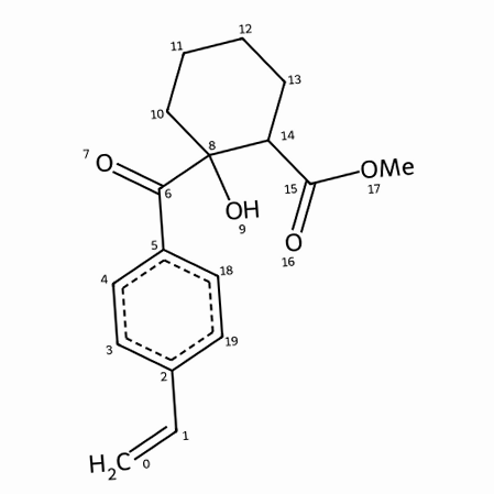 C=Cc1ccc(C(=O)C2(O)CCCCC2C(=O)OC)cc1